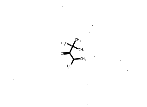 CC(C)C(=O)C(C)(C)C